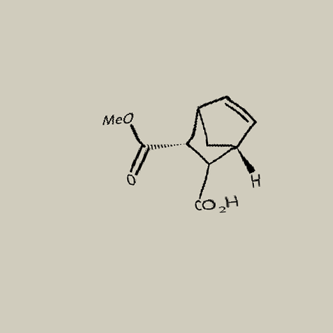 COC(=O)[C@@H]1C2C=C[C@@H](C2)C1C(=O)O